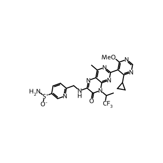 COc1ncnc(C2CC2)c1-c1nc(C)c2nc(NCc3ccc([S+](N)[O-])cn3)c(=O)n(C(C)C(F)(F)F)c2n1